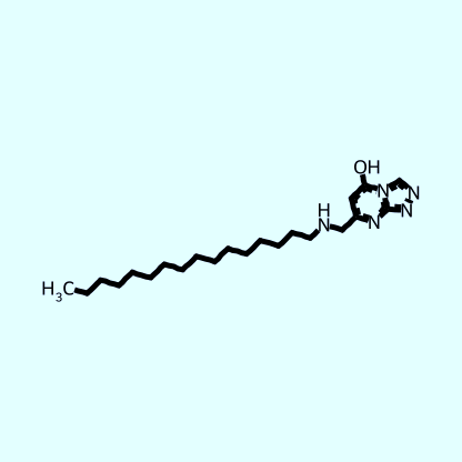 CCCCCCCCCCCCCCCCNCc1cc(O)n2cnnc2n1